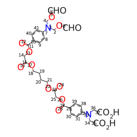 O=COCN(COC=O)c1ccc(C(=O)OCC(=O)OCCCCOC(=O)COC(=O)c2ccc(N(CC(=O)O)CC(=O)O)cc2)cc1